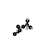 C1=C(c2ccncc2)C=C(c2ccncc2)NC1c1ccc(-n2c3ccccc3c3c4sc(-c5ccccc5)cc4ccc32)cc1